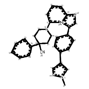 Cn1cc(-c2ccc(-c3cnc4cccc(N5CCC(C#N)(c6ccccc6)CC5)n34)cc2)cn1